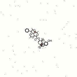 CC(=O)O[C@@H](C(=O)OC1=CC[C@@]2(O)[C@H]3Cc4ccc(O)c5c4[C@@]2(CCN3C)[C@H]1O5)[C@@H](OC(C)=O)C(=O)O[C@@H](C(C)=O)c1ccccc1